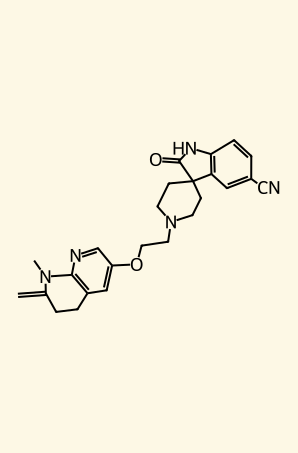 C=C1CCc2cc(OCCN3CCC4(CC3)C(=O)Nc3ccc(C#N)cc34)cnc2N1C